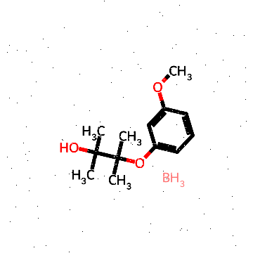 B.COc1cccc(OC(C)(C)C(C)(C)O)c1